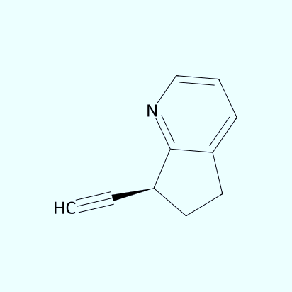 C#C[C@@H]1CCc2cccnc21